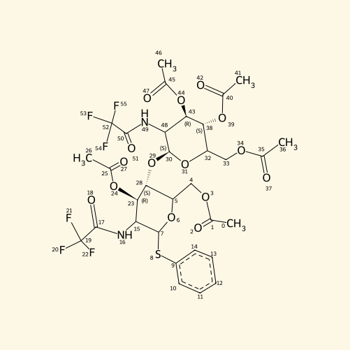 CC(=O)OCC1OC(Sc2ccccc2)C(NC(=O)C(F)(F)F)[C@@H](OC(C)=O)[C@@H]1O[C@@H]1OC(COC(C)=O)[C@@H](OC(C)=O)[C@H](OC(C)=O)C1NC(=O)C(F)(F)F